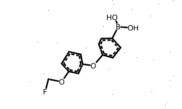 OB(O)c1ccc(Oc2cccc(OCF)c2)cc1